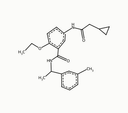 CCOc1ccc(NC(=O)CC2CC2)cc1C(=O)NC(C)c1cccc(C)c1